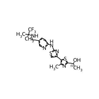 Cc1nc([C@H](C)O)sc1-c1csc(Nc2ccc(CNC(C)(C)C(F)(F)F)cn2)n1